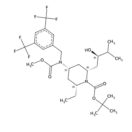 CC[C@@H]1C[C@H](N(Cc2cc(C(F)(F)F)cc(C(F)(F)F)c2)C(=O)OC)C[C@H](C[C@@H](O)C(C)C)N1C(=O)OC(C)(C)C